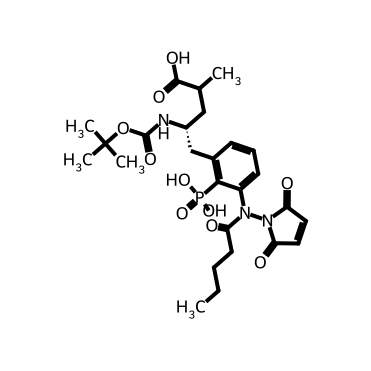 CCCCC(=O)N(c1cccc(C[C@@H](CC(C)C(=O)O)NC(=O)OC(C)(C)C)c1P(=O)(O)O)N1C(=O)C=CC1=O